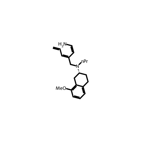 C=C/C=C(\C=C/N)CN(CCC)[C@@H]1CCc2cccc(OC)c2C1